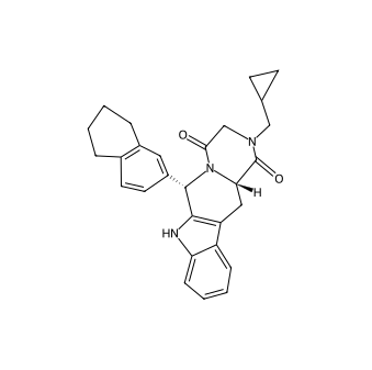 O=C1[C@@H]2Cc3c([nH]c4ccccc34)[C@H](c3ccc4c(c3)CCCC4)N2C(=O)CN1CC1CC1